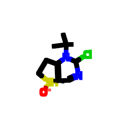 CC(C)(C)N1C2=C(C=NC1Cl)[SH+]([O-])CC2